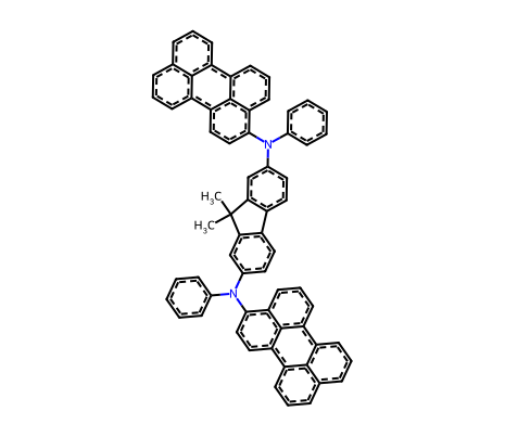 CC1(C)c2cc(N(c3ccccc3)c3ccc4c5cccc6cccc(c7cccc3c74)c65)ccc2-c2ccc(N(c3ccccc3)c3ccc4c5cccc6cccc(c7cccc3c74)c65)cc21